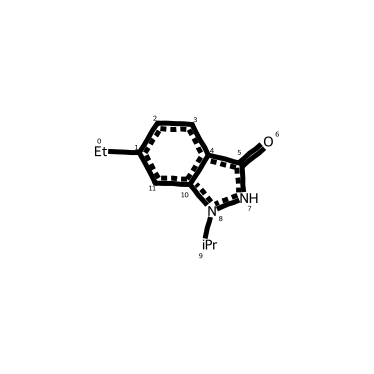 CCc1ccc2c(=O)[nH]n(C(C)C)c2c1